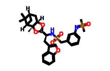 CC1(C)[C@@H]2C[C@H]3OB([C@H](Cc4coc5ccccc45)NS(=O)(=O)Cc4cccc(N=S(C)(C)=O)c4)O[C@@]3(C)[C@H]1C2